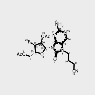 CC(=O)OC[C@H]1O[C@@H](n2c(=O)n(CCCC#N)c3cnc(N)nc32)[C@H](OC(C)=O)[C@@H]1F